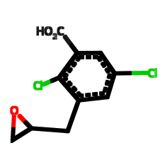 O=C(O)c1cc(Cl)cc(CC2CO2)c1Cl